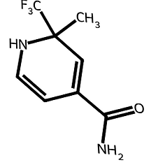 CC1(C(F)(F)F)C=C(C(N)=O)C=CN1